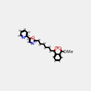 COC(=O)c1ccccc1C(=O)CCCCCCc1ncc(-c2ccccn2)o1